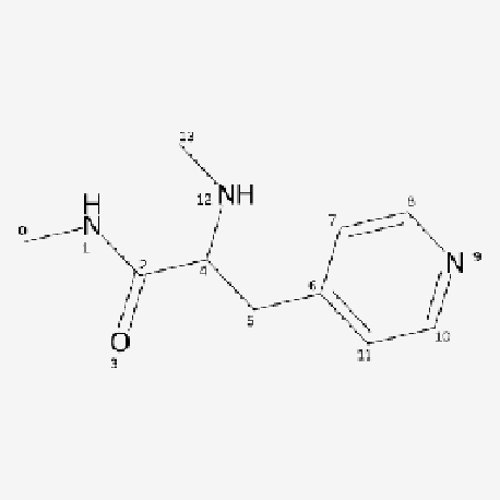 CNC(=O)C(Cc1ccncc1)NC